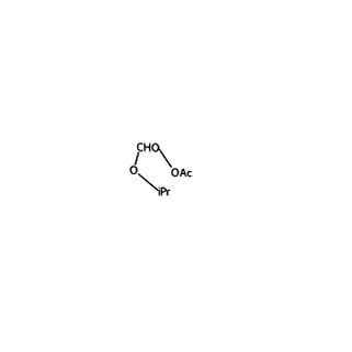 CC(C)OC=O.COC(C)=O